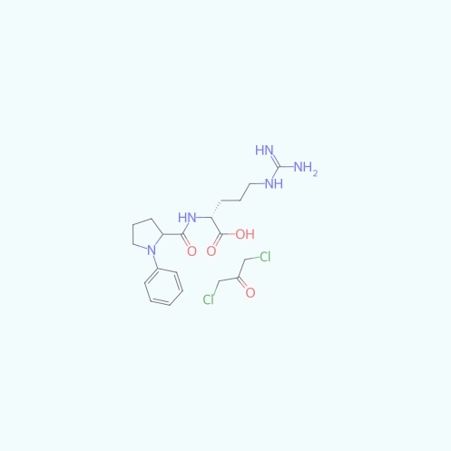 N=C(N)NCCC[C@@H](NC(=O)C1CCCN1c1ccccc1)C(=O)O.O=C(CCl)CCl